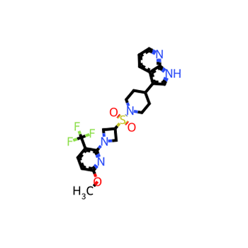 COc1ccc(C(F)(F)F)c(N2CC(S(=O)(=O)N3CCC(c4c[nH]c5ncccc45)CC3)C2)n1